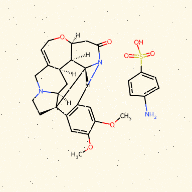 COc1cc2c(cc1OC)[C@@]13CCN4CC5=CCO[C@H]6CC(=O)N2[C@H]1[C@H]6[C@H]5C[C@H]43.Nc1ccc(S(=O)(=O)O)cc1